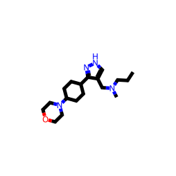 CCCN(C)Cc1c[nH]nc1C1CCC(N2CCOCC2)CC1